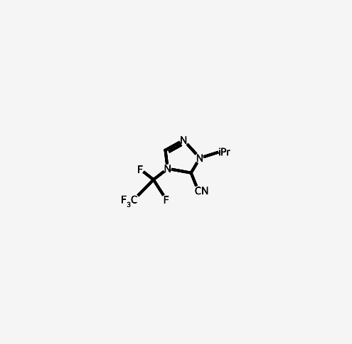 CC(C)N1N=CN(C(F)(F)C(F)(F)F)C1C#N